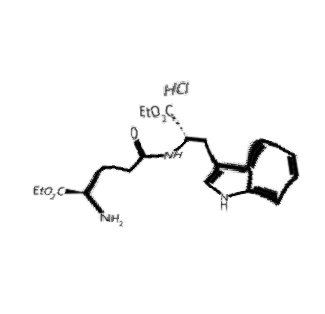 CCOC(=O)[C@H](N)CCC(=O)N[C@@H](Cc1c[nH]c2ccccc12)C(=O)OCC.Cl